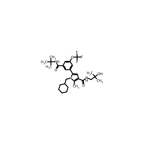 Cc1c(C(=O)NCC(C)(C)O)cc(-c2cc(OC(F)(F)F)cc(C(=O)NC(C)(C)C)c2)n1CC1CCCCC1